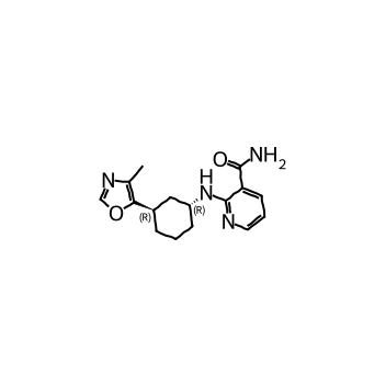 Cc1ncoc1[C@@H]1CCC[C@@H](Nc2ncccc2C(N)=O)C1